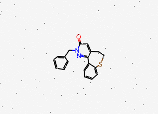 O=c1cc2c(nn1Cc1ccccc1)-c1ccccc1SCC2